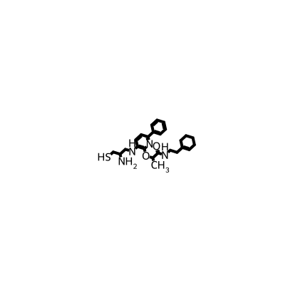 CC(Oc1nc(-c2ccccc2)ccc1NCC(N)CS)C(=O)NCCC1=CCCCC1